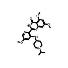 COc1cnc(-c2nc3cc(OC)cc(OC)c3c(=O)[nH]2)c(NC2CCN(C(C)C)CC2)c1